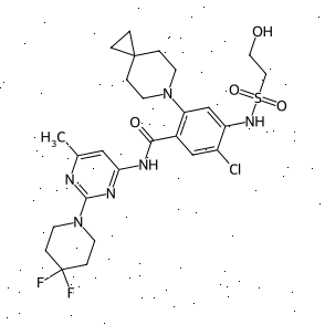 Cc1cc(NC(=O)c2cc(Cl)c(NS(=O)(=O)CCO)cc2N2CCC3(CC2)CC3)nc(N2CCC(F)(F)CC2)n1